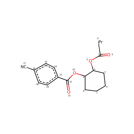 CC(C)C(=O)OC1CCCCC1OC(=O)c1ccc(C#N)cc1